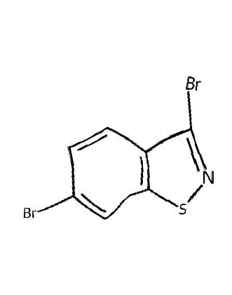 Brc1ccc2c(Br)nsc2c1